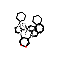 [Cl][Ru]([Cl])(=[CH]c1ccccc1)(=[c]1n(C2CCCCC2)ccn1C1CCCCC1)=[c]1n(C2CCCCC2)ccn1C1CCCCC1